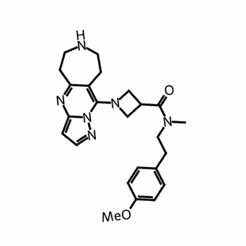 COc1ccc(CCN(C)C(=O)C2CN(c3c4c(nc5ccnn35)CCNCC4)C2)cc1